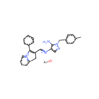 CC(=O)[O-].Cc1ccc(Cn2ncc(/N=C/C3=C(c4ccccc4)[n+]4ccccc4C3)c2N)cc1